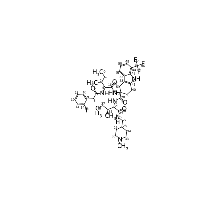 CCC(C)[C@H](NC(=O)Cc1ccccc1F)C(=O)N[C@]1(C(=O)NC(C(=O)NCC2CCN(C)CC2)[C@@H](C)CC)CCc2[nH]c3c(C(F)(F)F)cccc3c2C1